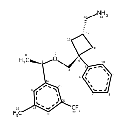 C[C@@H](OC[C@]1(c2ccccc2)C[C@@H](CN)C1)c1cc(C(F)(F)F)cc(C(F)(F)F)c1